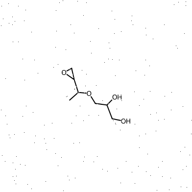 CC(OCC(O)CO)C1CO1